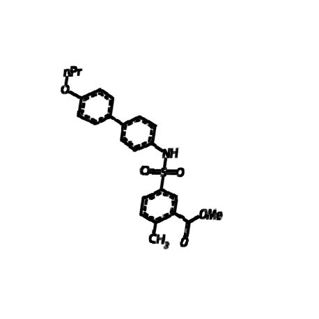 CCCOc1ccc(-c2ccc(NS(=O)(=O)c3ccc(C)c(C(=O)OC)c3)cc2)cc1